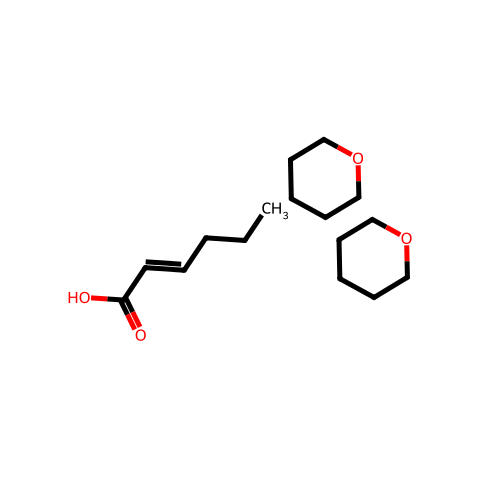 C1CCOCC1.C1CCOCC1.CCC/C=C/C(=O)O